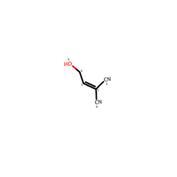 N#CC(C#N)=CCO